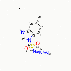 Cc1ccc2c(c1)ncn2S(=O)(=O)N=[N+]=[N-]